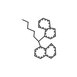 [CH2]CCCCC(c1cccc2ccccc12)c1cccc2ccccc12